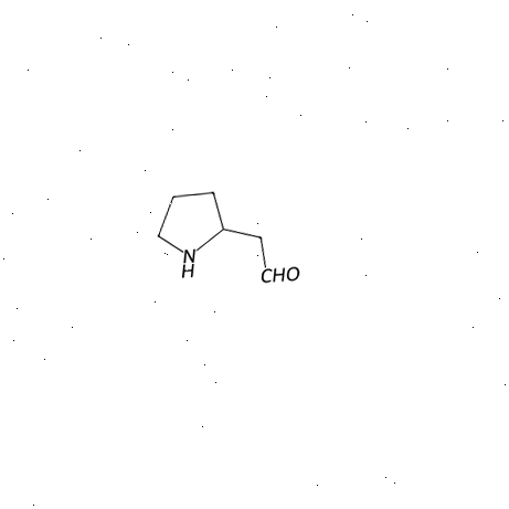 O=CCC1CCCN1